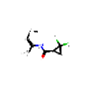 CCCCC/C=C(\NC(=O)C1CC1(Cl)Cl)C(=O)O